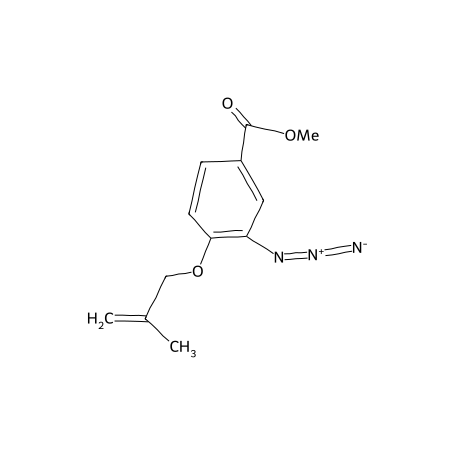 C=C(C)COc1ccc(C(=O)OC)cc1N=[N+]=[N-]